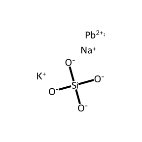 [K+].[Na+].[O-][Si]([O-])([O-])[O-].[Pb+2]